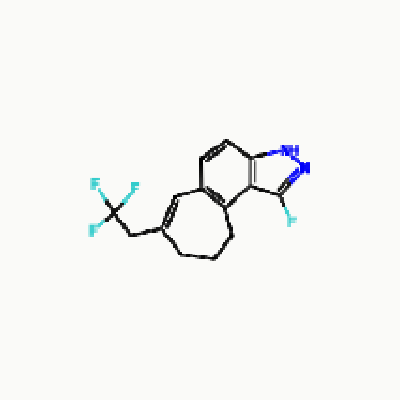 Fc1n[nH]c2ccc3c(c12)CCCC(CC(F)(F)F)=C3